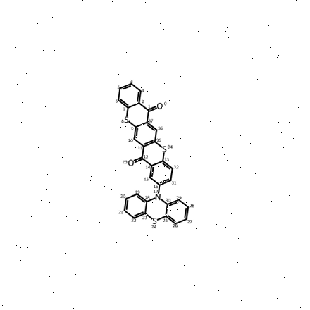 O=c1c2ccccc2sc2cc3c(=O)c4cc(N5c6ccccc6Sc6ccccc65)ccc4sc3cc12